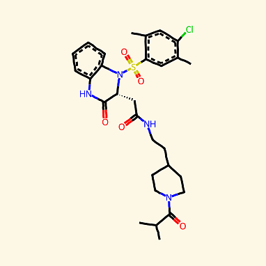 Cc1cc(S(=O)(=O)N2c3ccccc3NC(=O)[C@H]2CC(=O)NCCC2CCN(C(=O)C(C)C)CC2)c(C)cc1Cl